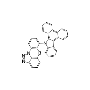 c1cc2c3c(c1)-n1c4c(cccc4c4c5ccccc5c5ccccc5c41)B3c1cccc3nnn-2c13